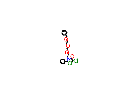 O=C(C(Cl)Cl)N(CCOCCOCCOCc1ccccc1)Cc1ccccc1